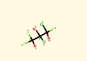 FC(F)(Br)C(Cl)(Br)C(F)(Cl)Br